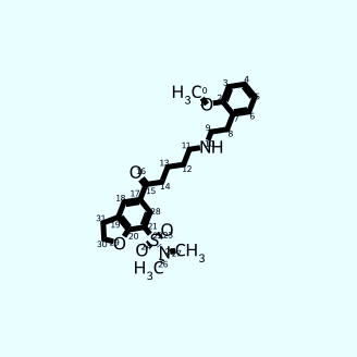 COc1ccccc1CCNCCCCC(=O)c1cc2c(c(S(=O)(=O)N(C)C)c1)OCC2